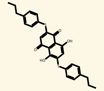 CCCc1ccc(SC2=CC(=O)c3c(O)c(Sc4ccc(CCC)cc4)cc(O)c3C2=O)cc1